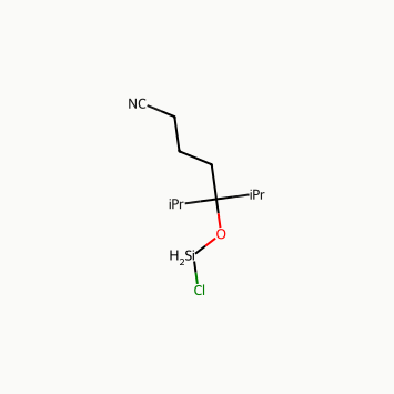 CC(C)C(CCCC#N)(O[SiH2]Cl)C(C)C